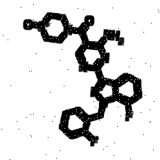 Nc1nc(-c2nn(Cc3ccccc3F)c3c(F)cccc23)ncc1C(=O)N1CC[S+]([O-])CC1